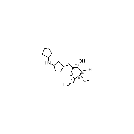 OC[C@H]1O[C@@H](SC2CCC(NC3CCCC3)C2)[C@H](O)[C@@H](O)[C@H]1O